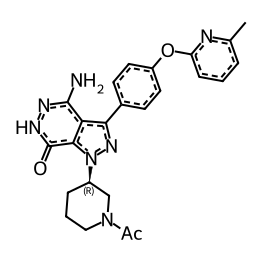 CC(=O)N1CCC[C@@H](n2nc(-c3ccc(Oc4cccc(C)n4)cc3)c3c(N)n[nH]c(=O)c32)C1